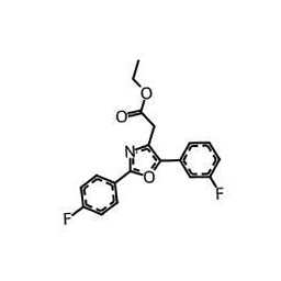 CCOC(=O)Cc1nc(-c2ccc(F)cc2)oc1-c1cccc(F)c1